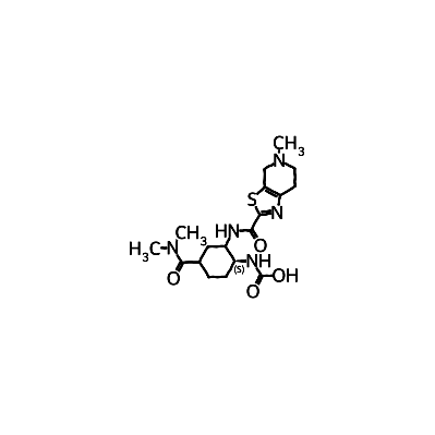 CN1CCc2nc(C(=O)NC3CC(C(=O)N(C)C)CC[C@@H]3NC(=O)O)sc2C1